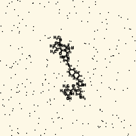 COC(=O)N[C@H](C(=O)N1[C@@H]2C[C@H]2C[C@H]1c1nc(C#Cc2ccc3cc(-c4c[nH]c([C@@H]5C[C@H](C)CN5C(=O)[C@@H](NC(=O)O)C(C)C)n4)ccc3c2)c[nH]1)C(C)C